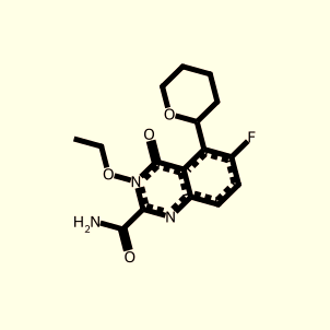 CCOn1c(C(N)=O)nc2ccc(F)c(C3CCCCO3)c2c1=O